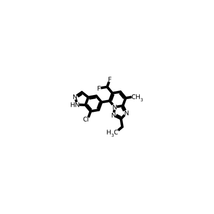 CCc1nc2c(C)cc(C(F)F)c(-c3cc(Cl)c4[nH]ncc4c3)n2n1